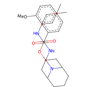 COc1ccc(C)cc1NC(=O)OC1CC2CCCC(C1)N2CNC(=O)c1ccc(C)cc1